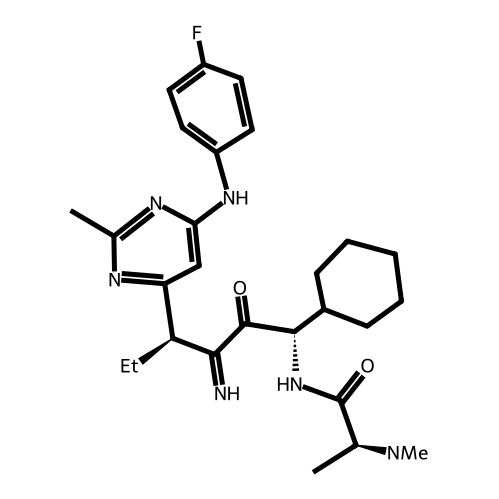 CC[C@H](C(=N)C(=O)[C@@H](NC(=O)[C@H](C)NC)C1CCCCC1)c1cc(Nc2ccc(F)cc2)nc(C)n1